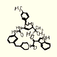 Cc1ccc(-n2nc(C(C)(C)C)cc2NC(=O)Nc2cccc(CC3CCN(C(=O)C(=O)c4c[nH]c5ccccc45)CC3)c2)cc1